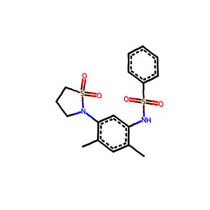 Cc1cc(C)c(N2CCCS2(=O)=O)cc1NS(=O)(=O)c1ccccc1